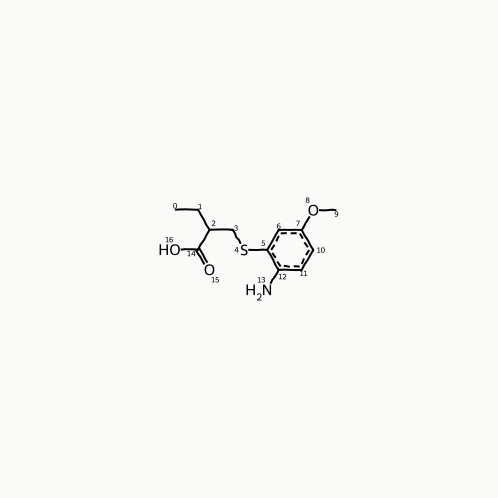 CCC(CSc1cc(OC)ccc1N)C(=O)O